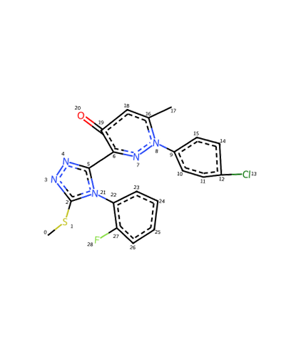 CSc1nnc(-c2nn(-c3ccc(Cl)cc3)c(C)cc2=O)n1-c1ccccc1F